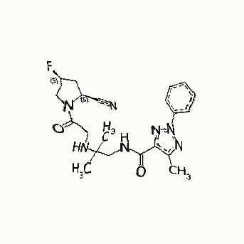 Cc1nn(-c2ccccc2)nc1C(=O)NCC(C)(C)NCC(=O)N1C[C@@H](F)C[C@H]1C#N